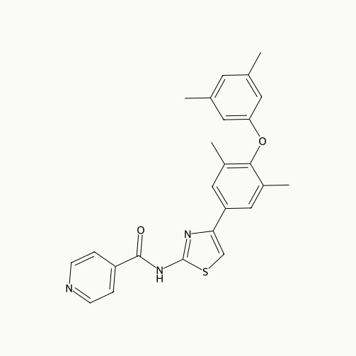 Cc1cc(C)cc(Oc2c(C)cc(-c3csc(NC(=O)c4ccncc4)n3)cc2C)c1